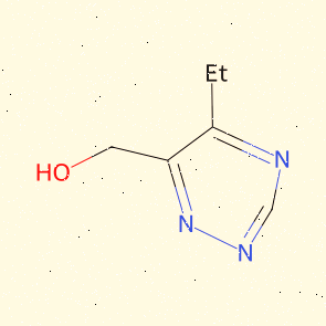 CCc1ncnnc1CO